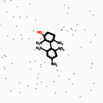 O=[N+]([O-])c1cc([N+](=O)[O-])c(-c2c([N+](=O)[O-])ccc(O)c2[N+](=O)[O-])c([N+](=O)[O-])c1